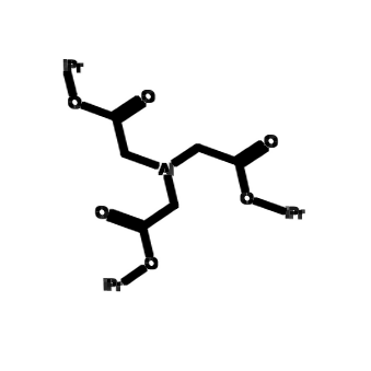 CC(C)OC(=O)[CH2][Al]([CH2]C(=O)OC(C)C)[CH2]C(=O)OC(C)C